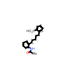 CCC(C)C(=O)Nc1ccccc1CCCCCc1ccccc1C(=O)O